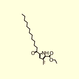 CCCCCCCCCCCCC(=O)c1cc(F)c(C(=O)OCC)[nH]1